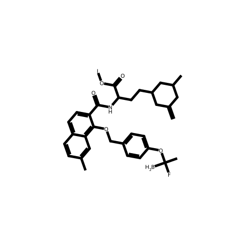 BC(C)(F)Oc1ccc(COc2c(C(=O)NC(CCC3CC(=C)CC(C)C3)C(=O)OI)ccc3ccc(C)cc23)cc1